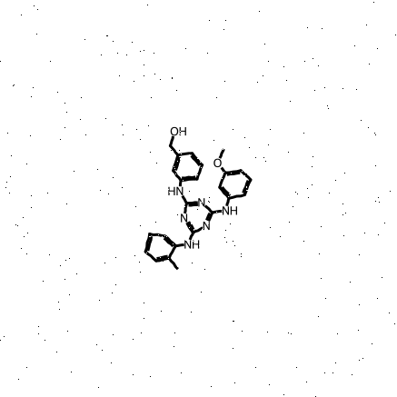 COc1cccc(Nc2nc(Nc3cccc(CO)c3)nc(Nc3ccccc3C)n2)c1